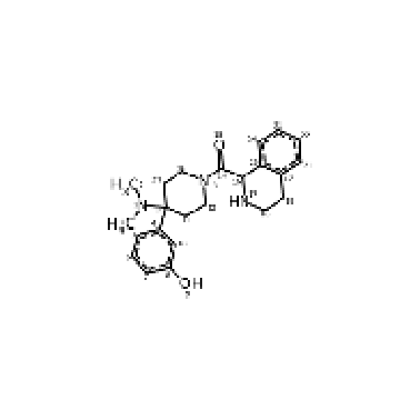 CN(C)C1(c2cccc(O)c2)CCN(C(=O)C2NCCc3ccccc32)CC1